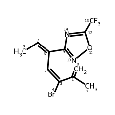 C=C(C)/C(Br)=C\C(=C/C)c1noc(C(F)(F)F)n1